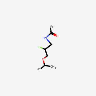 CC(C)C(=O)NCC(F)COC(C)C(C)C